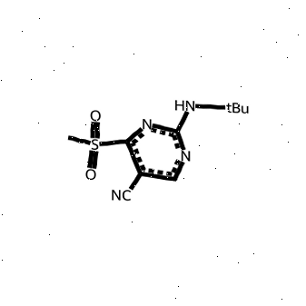 CC(C)(C)Nc1ncc(C#N)c(S(C)(=O)=O)n1